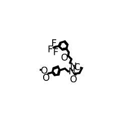 COC(=O)c1ccc(CCN2C(=O)CCCN2CCC(=O)Cc2cccc(C(F)(F)F)c2)cc1